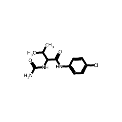 CC(C)C(NC(N)=O)C(=O)Nc1ccc(Cl)cc1